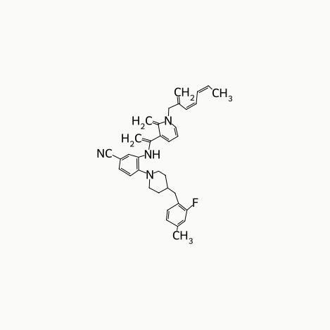 C=C(/C=C\C=C/C)CN1C=CC=C(C(=C)Nc2cc(C#N)ccc2N2CCC(Cc3ccc(C)cc3F)CC2)C1=C